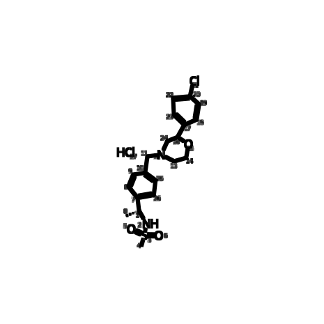 C[C@@H](NS(C)(=O)=O)c1ccc(CN2CCOC(c3ccc(Cl)cc3)C2)cc1.Cl